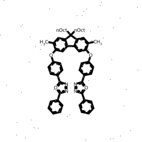 CCCCCCCCC1(CCCCCCCC)c2cc(C)c(Oc3ccc(-c4nnc(-c5ccccc5)o4)cc3)cc2-c2cc(Oc3ccc(-c4nnc(-c5ccccc5)o4)cc3)c(C)cc21